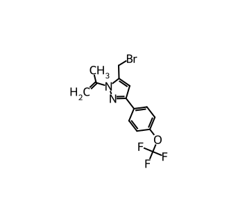 C=C(C)n1nc(-c2ccc(OC(F)(F)F)cc2)cc1CBr